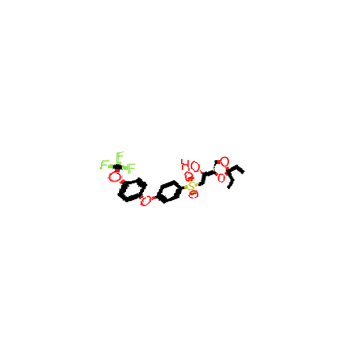 CCC1(CC)OC[C@@H]([C@H](O)CS(=O)(=O)c2ccc(Oc3ccc(OC(F)(F)F)cc3)cc2)O1